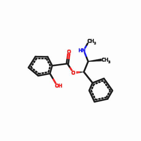 CN[C@@H](C)[C@@H](OC(=O)c1ccccc1O)c1ccccc1